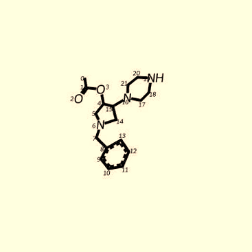 CC(=O)OC1CN(Cc2ccccc2)CC1N1CCNCC1